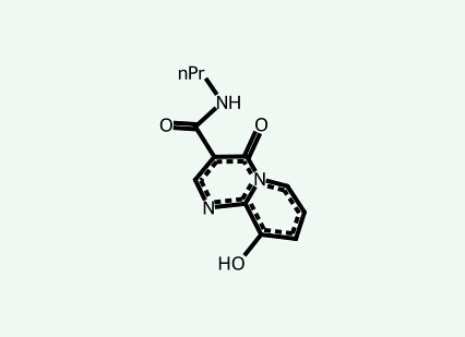 CCCNC(=O)c1cnc2c(O)cccn2c1=O